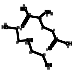 NC(CCC(=O)O)C(=O)O.OCCNCCO